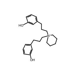 Oc1cccc(CCC[N+]2(CCCc3cccc(O)c3)CCCCC2)c1